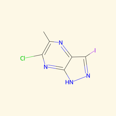 Cc1nc2c(I)n[nH]c2nc1Cl